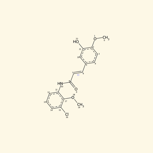 COc1ccc(/C=C/C(=O)Nc2cccc(Cl)c2OC)cc1O